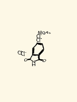 O=C1NC(=O)c2ccccc21.[Cl-].[Cl-].[Cl-].[Cl-].[Mo+4]